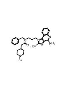 CCCCc1nc2c(N)nc3ccccc3c2n1CCCN(Cc1c[c]ccc1)C(=O)CN1CCN(C(C)=O)CC1